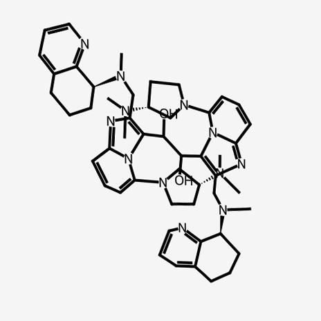 CN(C)[C@@H]1CCN(c2cccc3nc(CN(C)[C@H]4CCCc5cccnc54)c(C(O)C(O)c4c(CN(C)[C@H]5CCCc6cccnc65)nc5cccc(N6CC[C@@H](N(C)C)C6)n45)n23)C1